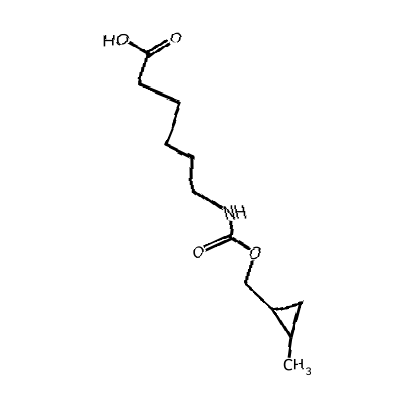 CC1CC1COC(=O)NCCCCCC(=O)O